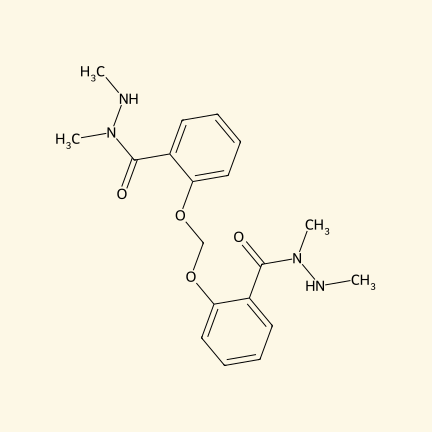 CNN(C)C(=O)c1ccccc1OCOc1ccccc1C(=O)N(C)NC